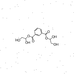 O=C(OC(O)CO)c1cccc(C(=O)OC(O)CO)c1